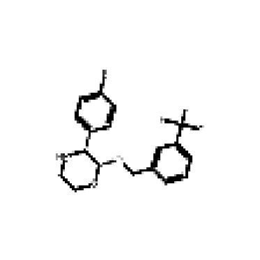 Fc1ccc([C@@H]2NCCO[C@@H]2OCc2cccc(C(F)(F)F)c2)cc1